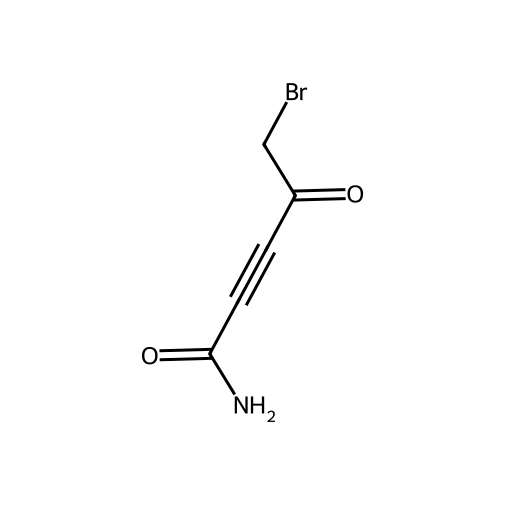 NC(=O)C#CC(=O)CBr